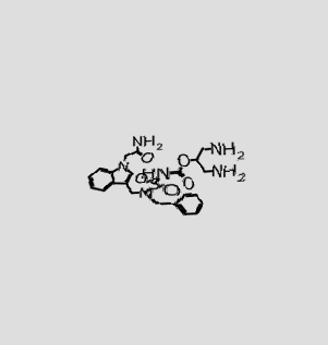 NCC(CN)OC(=O)NS(=O)(=O)N(Cc1ccccc1)Cc1cn(CC(N)=O)c2ccccc12